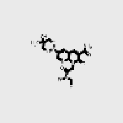 CCN(CF)C(=O)Cn1c(=O)c(C(N)=O)cc2cc(B3OCC(C)(C)CO3)cnc21